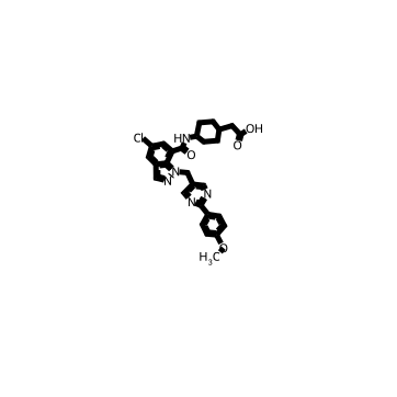 COc1ccc(-c2ncc(Cn3ncc4cc(Cl)cc(C(=O)NC5CCC(CC(=O)O)CC5)c43)cn2)cc1